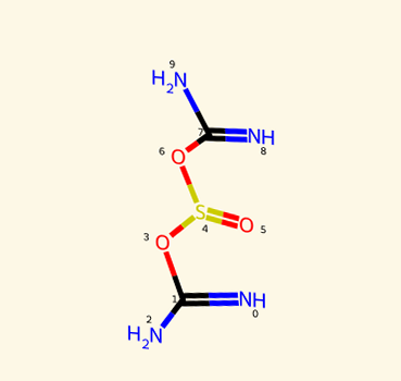 N=C(N)OS(=O)OC(=N)N